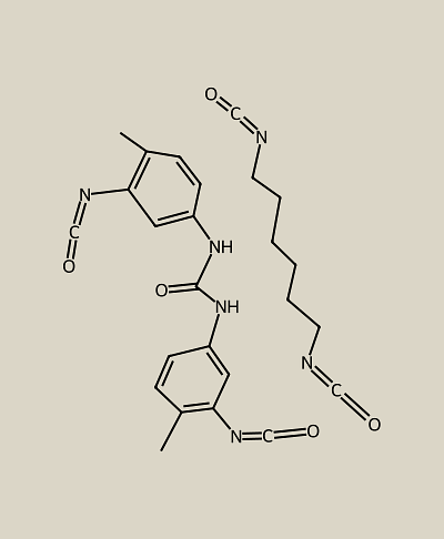 Cc1ccc(NC(=O)Nc2ccc(C)c(N=C=O)c2)cc1N=C=O.O=C=NCCCCCCN=C=O